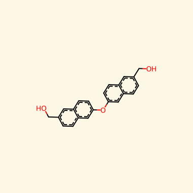 OCc1ccc2cc(Oc3ccc4cc(CO)ccc4c3)ccc2c1